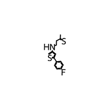 CC(=S)CCNc1csc(-c2ccc(F)cc2)c1